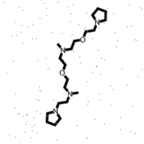 CN(CCOCCN(C)CCN1CCCC1)CCOCCN1CCCC1